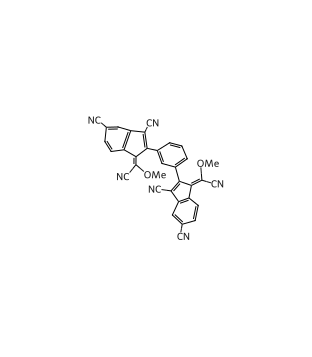 CO/C(C#N)=C1\C(c2cccc(C3=C(C#N)c4cc(C#N)ccc4/C3=C(\C#N)OC)c2)=C(C#N)c2cc(C#N)ccc21